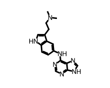 CN(C)CCc1c[nH]c2ccc(Nc3ncnc4[nH]cnc34)cc12